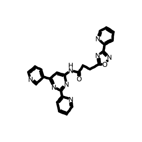 O=C(CCc1nc(-c2ccccn2)no1)Nc1cc(-c2cccnc2)nc(-c2ccccn2)n1